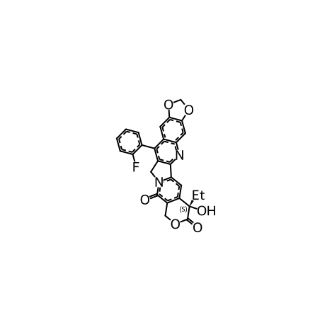 CC[C@@]1(O)C(=O)OCc2c1cc1n(c2=O)Cc2c-1nc1cc3c(cc1c2-c1ccccc1F)OCO3